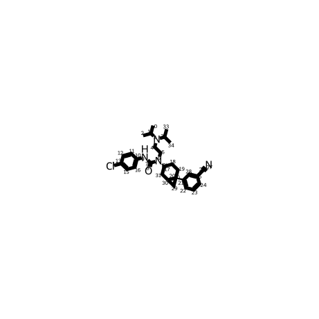 CC(C)N(CCN(C(=O)Nc1ccc(Cl)cc1)[C@@H]1CC[C@]2(c3cccc(C#N)c3)CC2C1)C(C)C